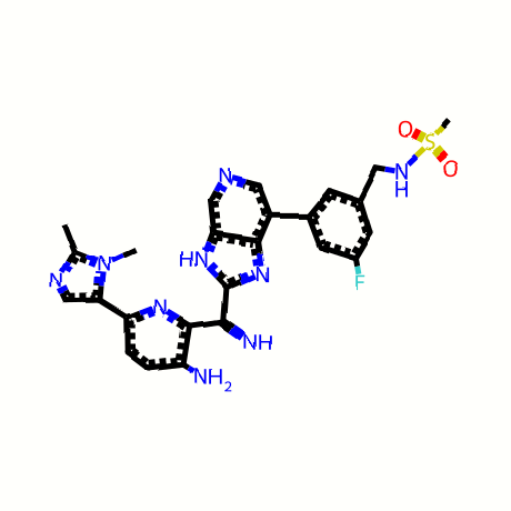 Cc1ncc(-c2ccc(N)c(C(=N)c3nc4c(-c5cc(F)cc(CNS(C)(=O)=O)c5)cncc4[nH]3)n2)n1C